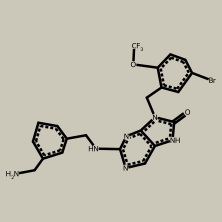 NCc1cccc(CNc2ncc3[nH]c(=O)n(Cc4cc(Br)ccc4OC(F)(F)F)c3n2)c1